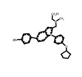 CCOC(=O)CN(C)Cc1cc2cc(-c3ccc(C(C)(C)C)cc3)ccc2n1-c1ccc(OC2CCCC2)cc1